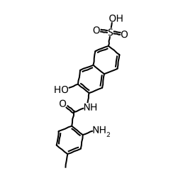 Cc1ccc(C(=O)Nc2cc3ccc(S(=O)(=O)O)cc3cc2O)c(N)c1